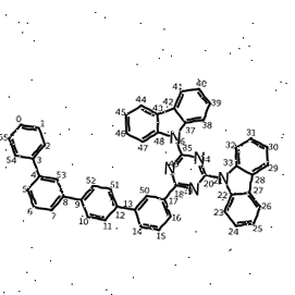 c1ccc(-c2cccc(-c3ccc(-c4cccc(-c5nc(-n6c7ccccc7c7ccccc76)nc(-n6c7ccccc7c7ccccc76)n5)c4)cc3)c2)cc1